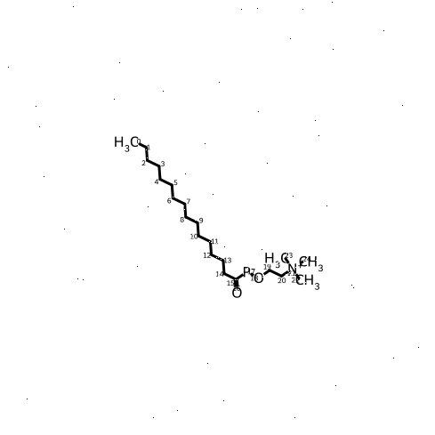 CCCCCCCCCCCCCCCC(=O)[P-]OCC[N+](C)(C)C